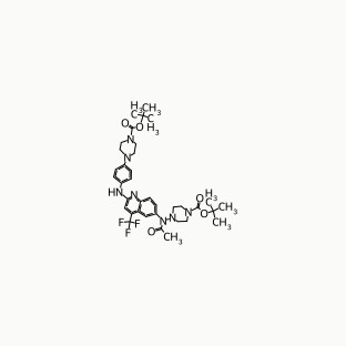 CC(=O)N(c1ccc2nc(Nc3ccc(N4CCN(C(=O)OC(C)(C)C)CC4)cc3)cc(C(F)(F)F)c2c1)N1CCN(C(=O)OC(C)(C)C)CC1